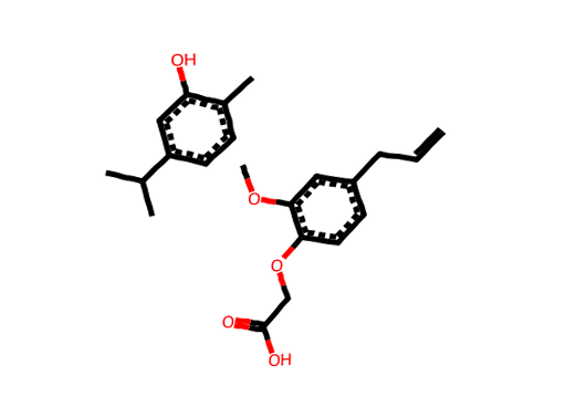 C=CCc1ccc(OCC(=O)O)c(OC)c1.Cc1ccc(C(C)C)cc1O